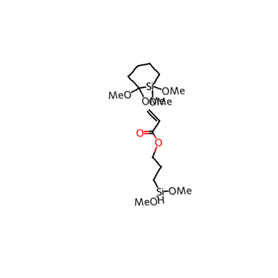 C=CC(=O)OCCC[SiH](OC)OC.COC1(OC)CCCC[Si]1(OC)OC